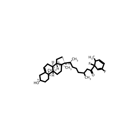 CC(CCC[C@@H](C)[C@H]1CC[C@H]2[C@@H]3CC=C4C[C@@H](O)CC[C@]4(C)[C@H]3CC[C@]12C)CC(=O)C1(F)C=C(F)C=CC1C